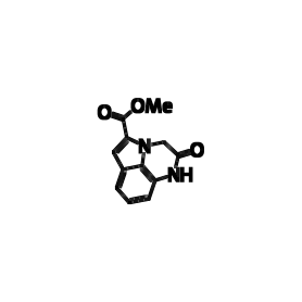 COC(=O)c1cc2cccc3c2n1CC(=O)N3